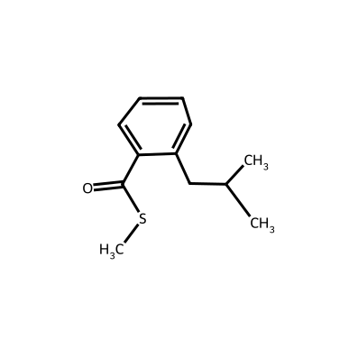 CSC(=O)c1ccccc1CC(C)C